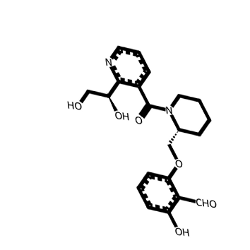 O=Cc1c(O)cccc1OC[C@H]1CCCCN1C(=O)c1cccnc1[C@@H](O)CO